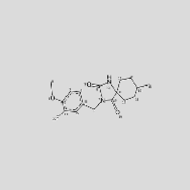 COc1ccc(CN2C(=O)NC3(CCC(C)CC3)C2=O)cc1F